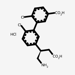 Cl.NC[C@H](CC(=O)O)c1ccc(Cl)c(-c2cc(C(=O)O)ccc2Cl)c1